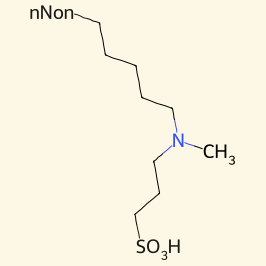 CCCCCCCCCCCCCCN(C)CCCS(=O)(=O)O